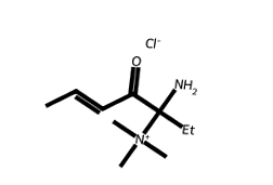 CC=CC(=O)C(N)(CC)[N+](C)(C)C.[Cl-]